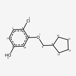 Oc1ccc(Cl)c(OCC2CCCC2)c1